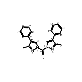 Cc1nn(C(=O)n2cc(-c3ccccc3)c(C)n2)cc1-c1ccccc1